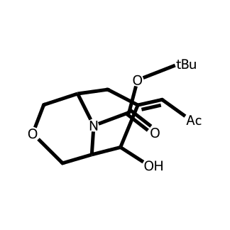 CC(=O)/C=C1/CC2COCC(C1O)N2C(=O)OC(C)(C)C